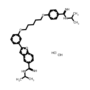 CC(C)NC(=N)c1ccc(OCCCCCOc2cccc(-c3cc4cc(C(=N)NC(C)C)ccc4o3)c2)cc1.Cl.Cl